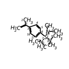 C=C(C)c1ccc([Si](N(C)C)(N(C)C)N(C)C)cc1